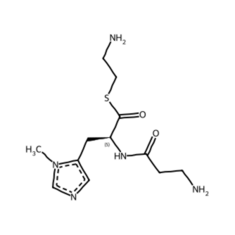 Cn1cncc1C[C@H](NC(=O)CCN)C(=O)SCCN